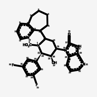 O=C(O)N1C(C2CCCCc3cccnc32)CC(n2c(=O)[nH]c3ncccc32)[C@H](O)[C@@H]1c1cc(F)cc(F)c1